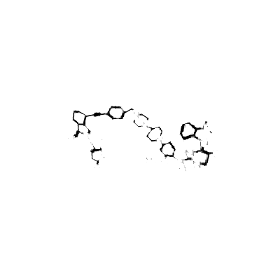 COc1cc(N2CCC(N3CCN(Cc4ccc(C#Cc5cccc6c5CN(C5CCC(=O)NC5=O)C6=C=O)cc4)CC3)CC2)ccc1Nc1ncc(Cl)c(Nc2ccccc2P(C)C)n1